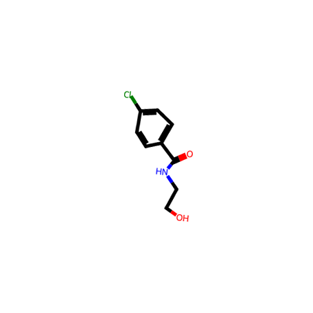 O=C(NCCO)c1ccc(Cl)cc1